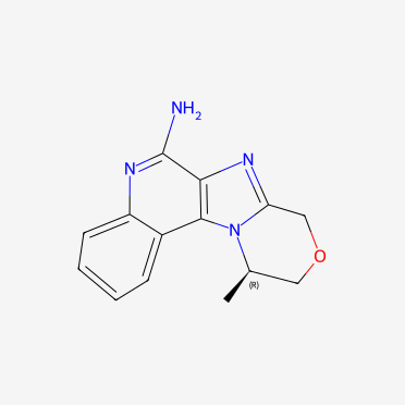 C[C@@H]1COCc2nc3c(N)nc4ccccc4c3n21